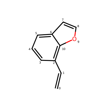 C=Cc1cccc2ccoc12